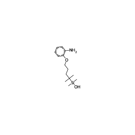 CC(C)(CCCOc1ccccc1N)[Si](C)(C)O